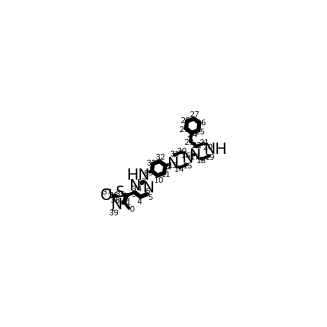 Cc1c(-c2ccnc(Nc3ccc(N4CCN(N5CCNCC5Cc5ccccc5)CC4)cc3)n2)sc(=O)n1C